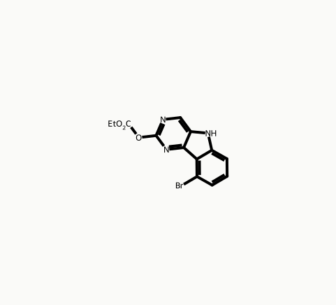 CCOC(=O)Oc1ncc2[nH]c3cccc(Br)c3c2n1